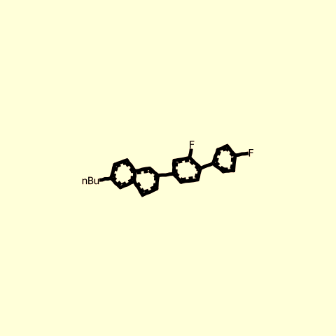 CCCCc1ccc2cc(-c3ccc(-c4ccc(F)cc4)c(F)c3)ccc2c1